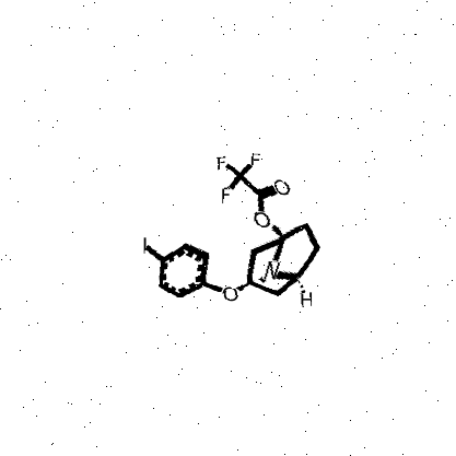 CN1[C@H]2CC[C@@]1(OC(=O)C(F)(F)F)C[C@H](Oc1ccc(I)cc1)C2